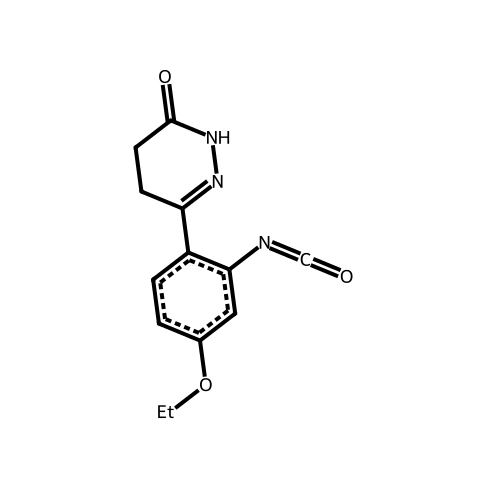 CCOc1ccc(C2=NNC(=O)CC2)c(N=C=O)c1